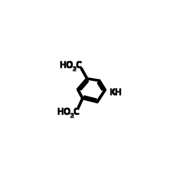 O=C(O)c1cccc(C(=O)O)c1.[KH]